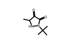 CC1NN(C(C)(C)C)C(=O)C1=O